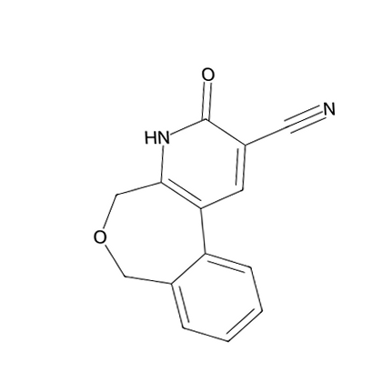 N#Cc1cc2c([nH]c1=O)COCc1ccccc1-2